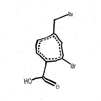 O=C(O)c1ccc(CBr)cc1Br